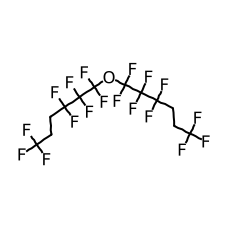 FC(F)(F)CCC(F)(F)C(F)(F)C(F)(F)OC(F)(F)C(F)(F)C(F)(F)CCC(F)(F)F